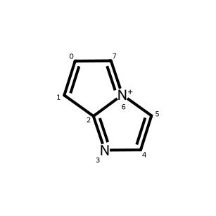 C1=CC2=NC=C[N+]2=C1